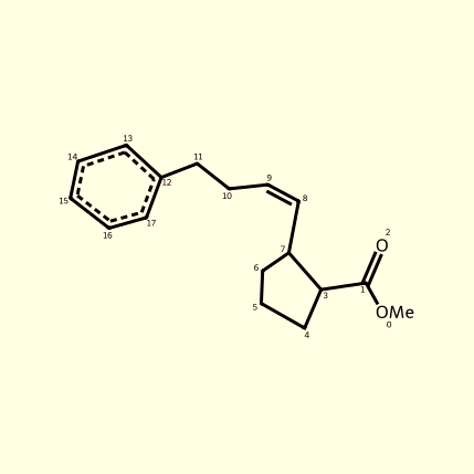 COC(=O)C1CCCC1/C=C\CCc1ccccc1